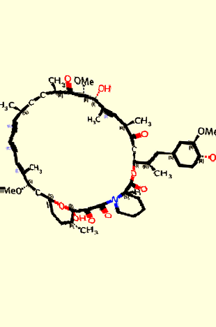 CO[C@H]1C[C@@H]2CC[C@@H](C)[C@@](O)(O2)C(=O)C(=O)N2CCCC[C@H]2C(=O)O[C@H]([C@H](C)C[C@@H]2CC[C@@H](O)[C@H](OC)C2)CC(=O)[C@H](C)/C=C(\C)[C@@H](O)[C@@H](OC)C(=O)[C@H](C)CC[C@H](C)/C=C/C=C/C=C/1C